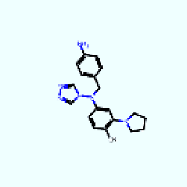 N#Cc1ccc(N(Cc2ccc(N)cc2)n2cnnc2)cc1N1CCCC1